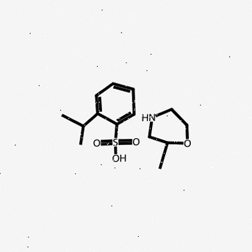 CC(C)c1ccccc1S(=O)(=O)O.CC1CNCCO1